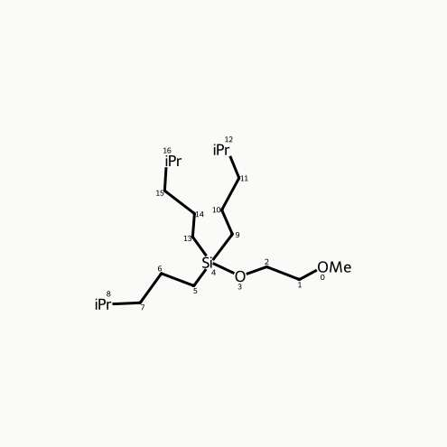 COCCO[Si](CCCC(C)C)(CCCC(C)C)CCCC(C)C